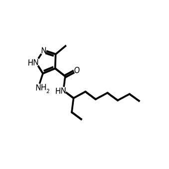 CCCCCCC(CC)NC(=O)c1c(C)n[nH]c1N